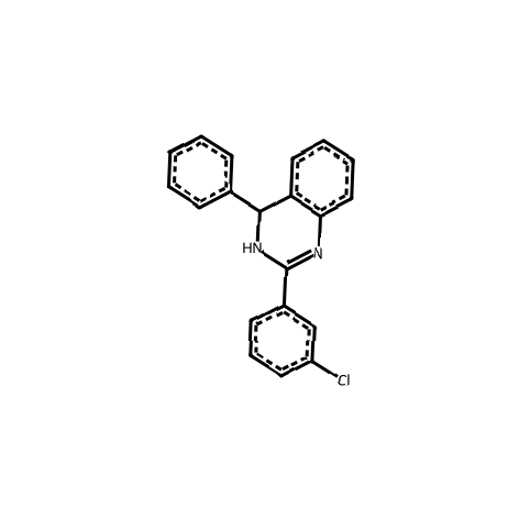 Clc1cccc(C2=Nc3ccccc3C(c3ccccc3)N2)c1